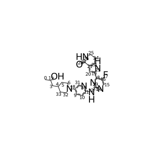 CC(O)CC1CCN(c2ccc(Nc3ncc(F)c(-c4cc5c([nH]4)CCNC5=O)n3)nc2)CC1